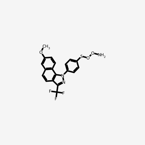 COc1ccc2c(ccc3c(C(F)(F)F)nn(-c4ccc(SOON)cc4)c32)c1